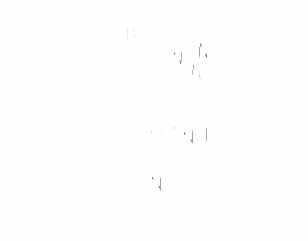 O=C(CCc1nnc2ccc(Br)cn12)NC1CCN(Cc2ccccc2)CC1